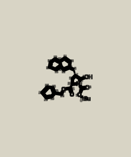 CC(C)(C)OC(=O)N1C(O)[C@@H](Cc2ccc3ccccc3c2)C[C@@H]1C(=O)OCc1ccccc1